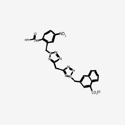 CCCC(=O)Nc1ccc([N+](=O)[O-])cc1Cn1nnc(Cc2nnn(Cc3cc(C(=O)OCC)c4ccccc4c3)n2)n1